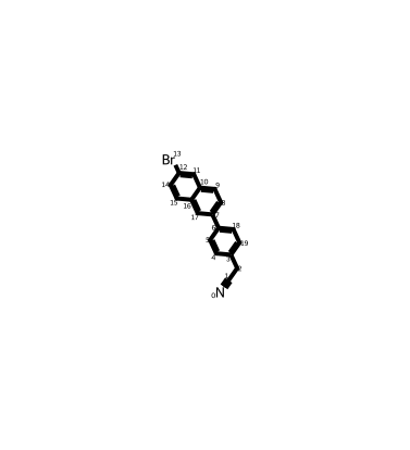 N#CCc1ccc(-c2ccc3cc(Br)ccc3c2)cc1